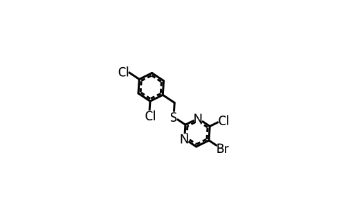 Clc1ccc(CSc2ncc(Br)c(Cl)n2)c(Cl)c1